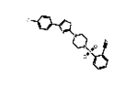 N#Cc1ccccc1S(=O)(=O)N1CCN(c2nc(-c3ccc(Cl)cc3)cs2)CC1